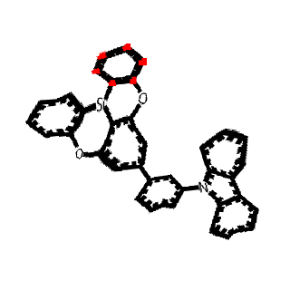 c1ccc([Si]23c4ccccc4Oc4cc(-c5cccc(-n6c7ccccc7c7ccccc76)c5)cc(c42)Oc2ccccc23)cc1